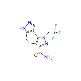 NC(=O)c1nn(CC(F)(F)F)c2c1CCc1[nH]ncc1-2